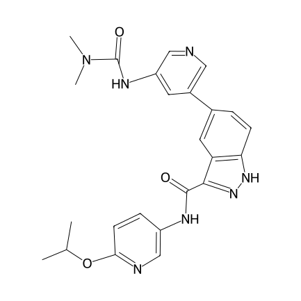 CC(C)Oc1ccc(NC(=O)c2n[nH]c3ccc(-c4cncc(NC(=O)N(C)C)c4)cc23)cn1